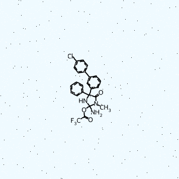 CN1C(=O)C(c2ccccc2)(c2cccc(-c3ccc(Cl)cc3)c2)NC1(N)OC(=O)C(F)(F)F